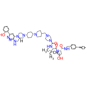 C#Cc1ccc(CNC(=O)[C@@H]2C[C@@H](O)CN2C(=O)[C@@H](NC(=O)N2CCN(CC3CCN([C@H]4CC[C@@H](N5CCN6c7cc(-c8ccccc8O)nnc7NC[C@H]6C5)CC4)CC3)CC2)C(C)(C)C)cc1